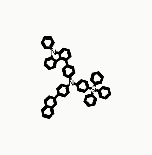 c1ccc(-n2c3ccccc3c3c(-c4ccc(N(c5ccc(-c6ccc7ccccc7c6)cc5)c5ccc([Si](c6ccccc6)(c6ccccc6)c6ccccc6)cc5)cc4)cccc32)cc1